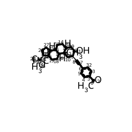 CC(=O)c1ccc(C#C[C@H]2C[C@@]3(C)[C@@H](CC[C@@H]4[C@@H]3CC[C@]3(C)[C@@H](C(C)=O)CC[C@@H]43)C[C@@H]2O)cc1